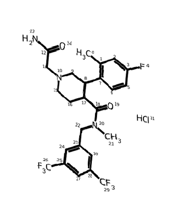 Cc1cc(F)ccc1C1CN(CC(N)=O)CCC1C(=O)N(C)Cc1cc(C(F)(F)F)cc(C(F)(F)F)c1.Cl